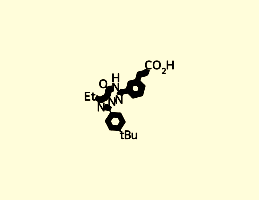 CCc1nc([C@H]2CC[C@@H](C(C)(C)C)CC2)n2nc(-c3cccc(C=CC(=O)O)c3)[nH]c(=O)c12